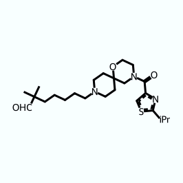 CC(C)c1nc(C(=O)N2CCOC3(CCN(CCCCCC(C)(C)C=O)CC3)C2)cs1